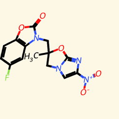 CC1(Cn2c(=O)oc3ccc(F)cc32)Cn2cc([N+](=O)[O-])nc2O1